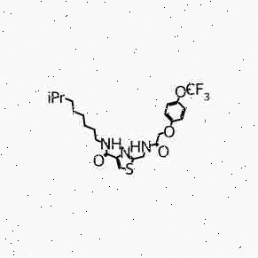 CC(C)CCCCCCNC(=O)c1csc(CNC(=O)COc2ccc(OC(F)(F)F)cc2)n1